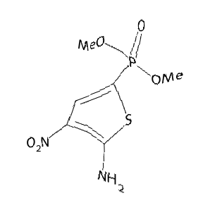 COP(=O)(OC)c1cc([N+](=O)[O-])c(N)s1